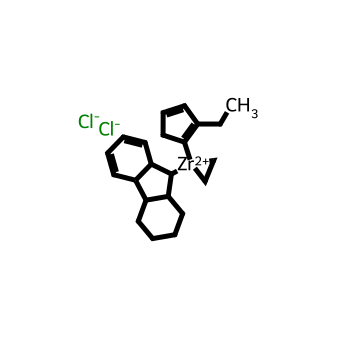 CCC1=[C]([Zr+2]2([CH]3C4C=CC=CC4C4CCCCC43)[CH2][CH2]2)CC=C1.[Cl-].[Cl-]